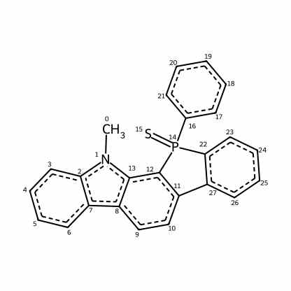 Cn1c2ccccc2c2ccc3c(c21)P(=S)(c1ccccc1)c1ccccc1-3